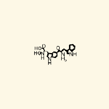 N[C@@H](Cc1c[nH]c2ccccc12)C(=O)c1ccc2[nH]cc(C[C@H](NO)C(=O)O)c2c1